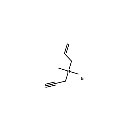 C#CC[N+](C)(C)CC=C.[Br-]